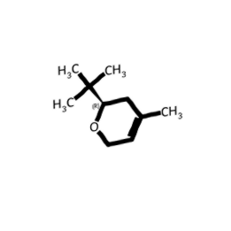 CC1=CCO[C@@H](C(C)(C)C)C1